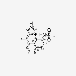 CC(c1c[nH]cn1)c1cccc2ccc(NS(C)(=O)=O)cc12